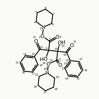 O=C(ON1CCCCC1)C(O)(C(=O)c1ccccc1)C(O)(C(=O)ON1CCCCC1)C(=O)c1ccccc1